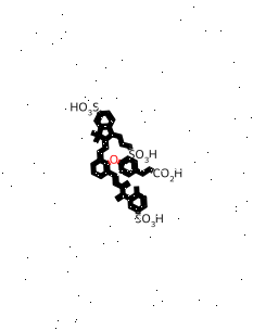 C=C(/C=C/C1=C(Oc2ccc(CCC(=O)O)cc2)C(=C\C=C2\C(CCCS(=O)(=O)O)c3ccc(S(=O)(=O)O)cc3C2(C)C)/CCC1)C(=C)c1cc(S(=O)(=O)O)ccc1C